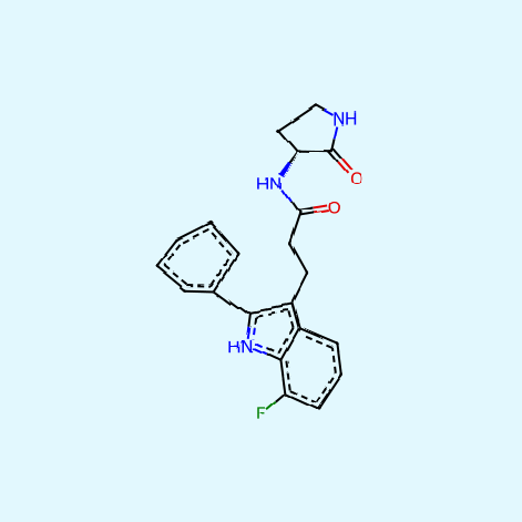 O=C(CCc1c(-c2ccccc2)[nH]c2c(F)cccc12)N[C@H]1CCNC1=O